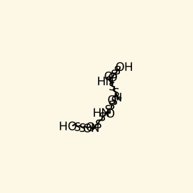 O=C(NCSCCSC/N=C\[S+]([O-])CSCSC(=O)NCSCCSC/N=C\OOCSCSCO)OSCSCO